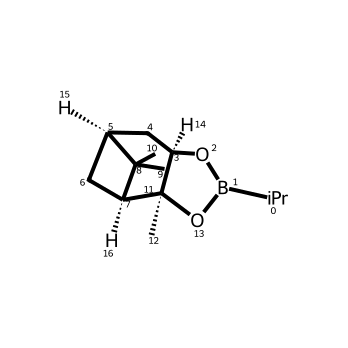 CC(C)B1O[C@@H]2C[C@@H]3C[C@@H](C3(C)C)[C@]2(C)O1